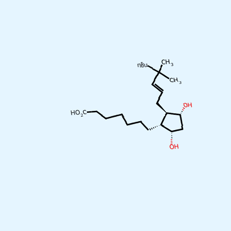 CCCCC(C)(C)C=CC[C@@H]1[C@@H](CCCCCCC(=O)O)[C@@H](O)C[C@H]1O